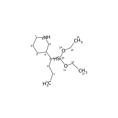 CCCC(C1CCCNC1)[SiH](OCC)OCC